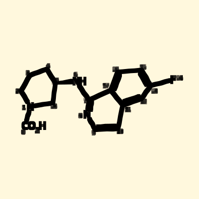 O=C(O)N1CCC[C@@H](Nc2nccc3cc(F)ccc23)C1